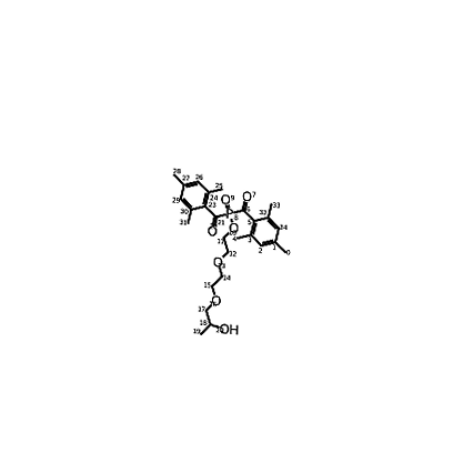 Cc1cc(C)c(C(=O)P(=O)(OCCOCCOCC(C)O)C(=O)c2c(C)cc(C)cc2C)c(C)c1